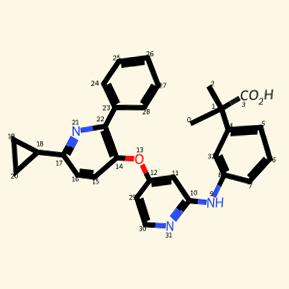 CC(C)(C(=O)O)c1cccc(Nc2cc(Oc3ccc(C4CC4)nc3-c3ccccc3)ccn2)c1